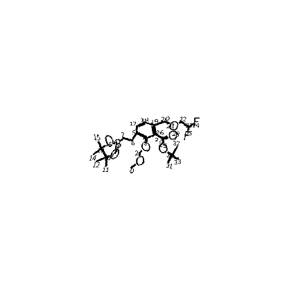 COCOc1c(CCB2OC(C)(C)C(C)(C)O2)ccc(COCC(F)F)c1C(=O)OC(C)(C)C